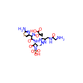 NCC(=O)NCc1cnn(C[C@H]2[C@H](NC(=O)C(=NOC3(C(=O)O)CC3)c3csc(N)n3)C(=O)N2S(=O)(=O)O)n1